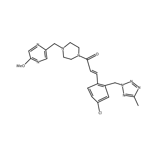 COc1cnc(CN2CCN(C(=O)C=Cc3ccc(Cl)cc3Cn3nnc(C)n3)CC2)cn1